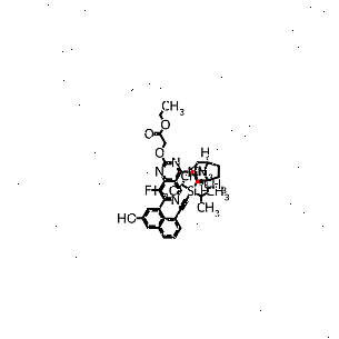 CCOC(=O)COc1nc(N2C[C@H]3CC[C@@H](C2)N3)c2cnc(-c3cc(O)cc4cccc(C#C[Si](C(C)C)(C(C)C)C(C)C)c34)c(F)c2n1